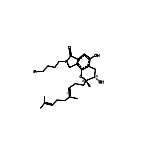 CC(C)=CCC/C(C)=C/CC[C@]1(C)Oc2c(c(O)cc3c2CN(CCCCC(C)C)C3=O)C[C@@H]1O